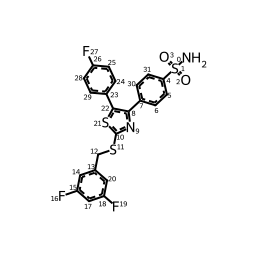 NS(=O)(=O)c1ccc(-c2nc(SCc3cc(F)cc(F)c3)sc2-c2ccc(F)cc2)cc1